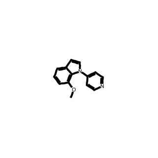 COc1cccc2ccn(-c3ccncc3)c12